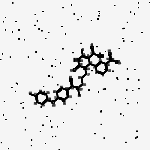 CC1=C(C(=O)O)C(c2cccc([N+](=O)[O-])c2)N(CCCN(C)C(=O)c2ccc(Oc3ccc(C)cc3)nc2)C(=O)N1